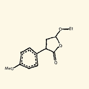 CCOC1CC(c2ccc(OC)cc2)C(=O)O1